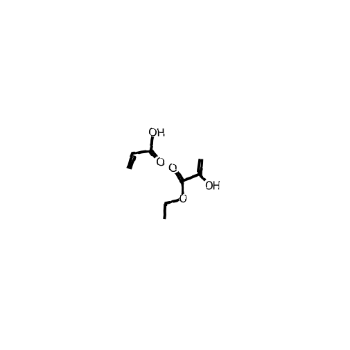 C=C(O)C(=O)OCC.C=CC(=O)O